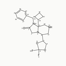 O=C1CN2C(C3COC(F)(F)O3)CNCC2(C2CCC2)N1Cc1ccccc1